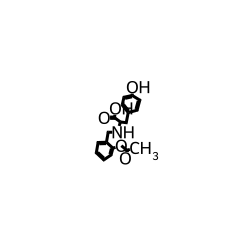 CC(=O)Oc1ccccc1CNC(Cc1ccc(O)cc1)C(=O)O